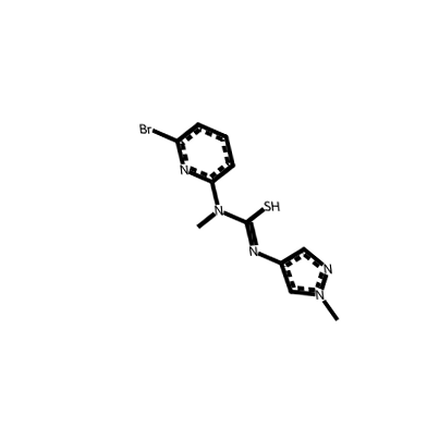 CN(C(S)=Nc1cnn(C)c1)c1cccc(Br)n1